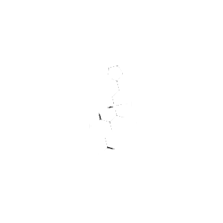 CC(C(CCC(=O)O)C(=O)O)P(=O)(O)CCC1CCCO1